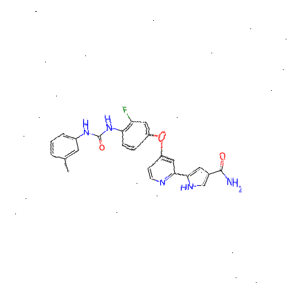 Cc1cccc(NC(=O)Nc2ccc(Oc3ccnc(-c4cc(C(N)=O)c[nH]4)c3)cc2F)c1